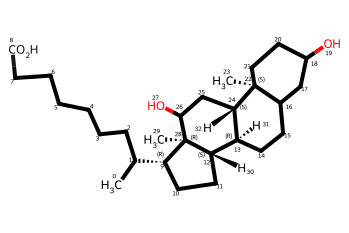 CC(CCCCCCC(=O)O)[C@H]1CC[C@H]2[C@@H]3CCC4CC(O)CC[C@]4(C)[C@H]3CC(O)[C@]12C